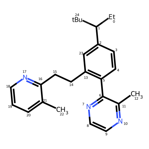 CCC(c1ccc(-c2nccnc2C)c(CCc2ncccc2C)c1)C(C)(C)C